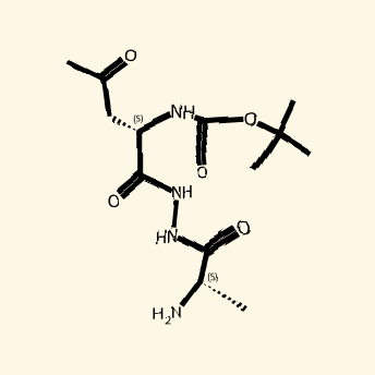 CC(=O)C[C@H](NC(=O)OC(C)(C)C)C(=O)NNC(=O)[C@H](C)N